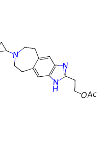 CC(=O)OCCc1nc2cc3c(cc2[nH]1)CCN(C1CC1)CC3